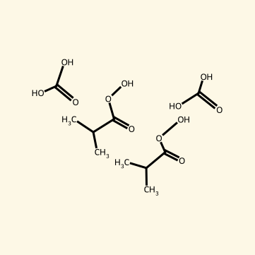 CC(C)C(=O)OO.CC(C)C(=O)OO.O=C(O)O.O=C(O)O